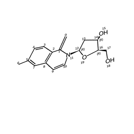 C=C1c2ccc(C)cc2C=CN1[C@H]1C[C@@H](O)[C@@H](CO)O1